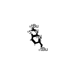 CC(C)(C)Cc1ccc2sc(C(C)(C)C)nc2n1